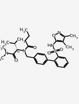 CCCC(=O)N(Cc1ccc(-c2ccccc2S(=O)(=O)Nc2onc(C)c2C)cc1)[C@H](C(=O)N(C)C)C(C)C